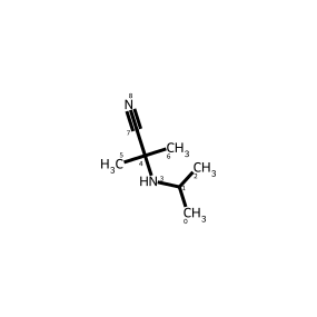 CC(C)NC(C)(C)C#N